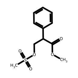 COC(=O)C(COS(C)(=O)=O)c1ccccc1